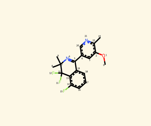 COc1cc(C2=NC(C)(C)C(F)(F)c3c(F)cccc32)cnc1C